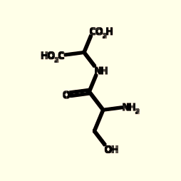 NC(CO)C(=O)NC(C(=O)O)C(=O)O